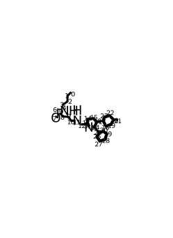 CCCCNP(C)(=O)CCCNCc1ccc(-c2ccc(C)cc2)c(-c2ccccc2)n1